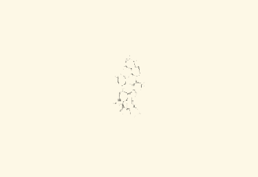 CC(C)(C)N(c1ccccc1F)c1cc(-c2cccc(-c3ccc4ccccc4c3)c2)c(-c2ccccc2)cc1F